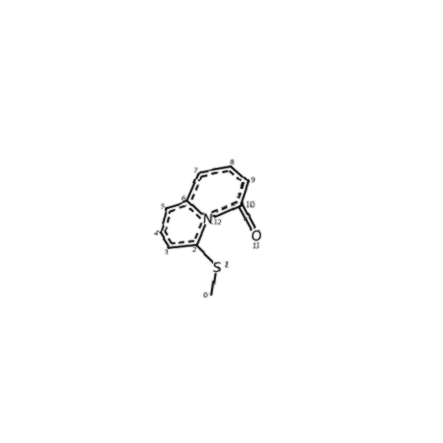 CSc1cccc2cccc(=O)n12